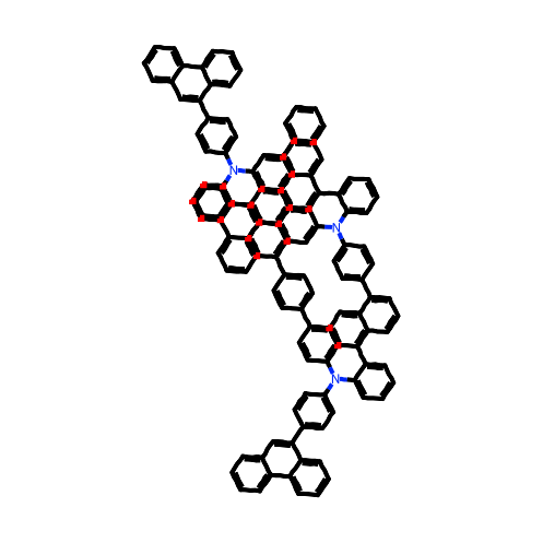 c1ccc(-c2cccc(N(c3ccc(-c4cc5ccccc5c5ccccc45)cc3)c3ccccc3-c3cccc4cc(-c5ccc(-c6ccc(N(c7ccc(-c8cc9ccccc9c9ccccc89)cc7)c7ccccc7-c7cccc8c(-c9ccc(N(c%10ccc(-c%11cc%12ccccc%12c%12ccccc%11%12)cc%10)c%10ccccc%10-c%10cccc%11ccccc%10%11)cc9)cccc78)cc6)cc5)ccc34)c2)cc1